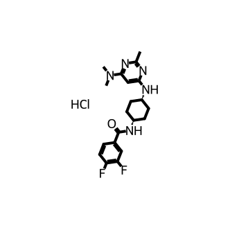 Cc1nc(N[C@H]2CC[C@@H](NC(=O)c3ccc(F)c(F)c3)CC2)cc(N(C)C)n1.Cl